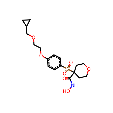 O=C(NO)C1(S(=O)(=O)c2ccc(OCCOCC3CC3)cc2)CCOCC1